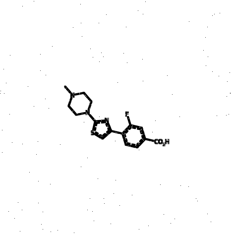 CN1CCN(c2nc(-c3ccc(C(=O)O)cc3F)cs2)CC1